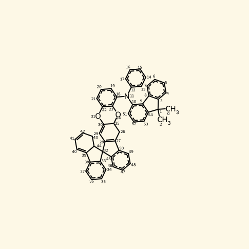 CC1(C)c2ccccc2-c2c(N(c3ccccc3)c3cccc4c3OC3CC5=C(C=C3O4)C3(c4ccccc4C4=CC=CCC43)c3ccccc35)cccc21